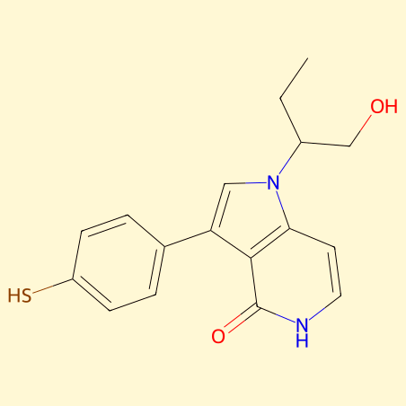 CCC(CO)n1cc(-c2ccc(S)cc2)c2c(=O)[nH]ccc21